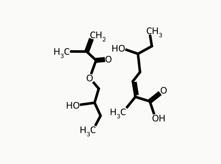 C=C(C)C(=O)OCC(O)CC.CCC(O)CC=C(C)C(=O)O